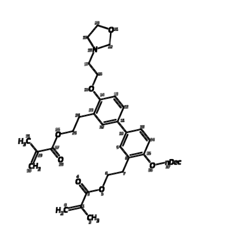 C=C(C)C(=O)OCCc1cc(-c2ccc(OCCN3CCOC3)c(CCOC(=O)C(=C)C)c2)ccc1OCCCCCCCCCC